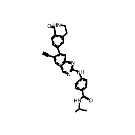 C#Cc1cc2cnc(Nc3ccc(C(=O)NC(C)C)cc3)nc2cc1-c1ccc2c(c1)CCNC2=O